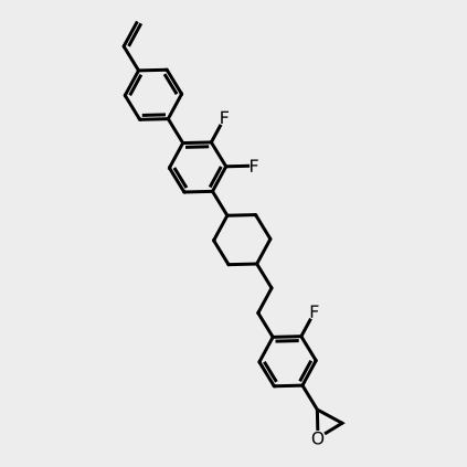 C=Cc1ccc(-c2ccc(C3CCC(CCc4ccc(C5CO5)cc4F)CC3)c(F)c2F)cc1